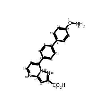 NOc1ccc(-c2ccc(-c3ccnc4cc(C(=O)O)nn34)cc2)cc1